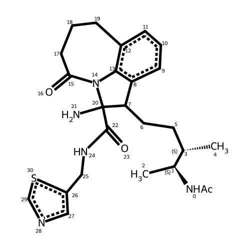 CC(=O)N[C@@H](C)[C@@H](C)CCC1c2cccc3c2N(C(=O)CCC3)C1(N)C(=O)NCc1cncs1